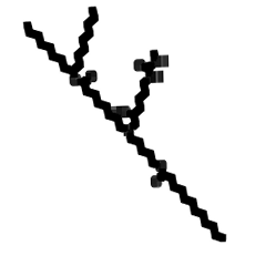 CCCCCCCCCCCC(=O)OCCCCCN(CCCCCCCC(=O)OC(CCCCCCCC)CCCCCCCC)CC(O)CCCCNC(=O)NC